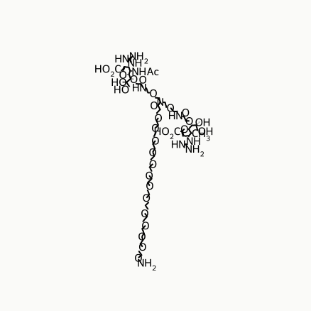 CC(=O)N[C@H]1[C@H]([C@H](OCC(=O)NCCOCCN(CCOCCNC(=O)CO[C@@H]([C@@H]2OC(C(=O)O)=C[C@H](NC(=N)N)[C@H]2C)[C@H](O)CO)C(=O)CCOCCOCCOCCOCCOCCOCCOCCOCCCOCCOCCOCCOCCON)[C@H](O)CO)OC(C(=O)O)=C[C@@H]1NC(=N)N